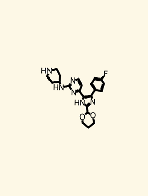 Fc1ccc(-c2nc(C3OCCCO3)[nH]c2-c2ccnc(NC3CCNCC3)n2)cc1